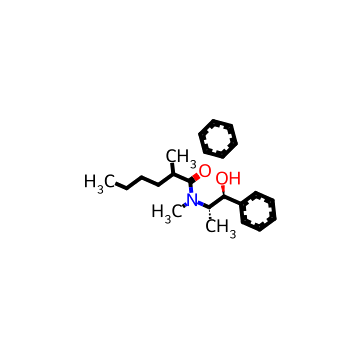 CCCCC(C)C(=O)N(C)[C@@H](C)[C@@H](O)c1ccccc1.c1ccccc1